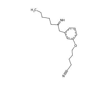 CCCCCC(=N)Cc1cccc(OCCCCC#N)c1